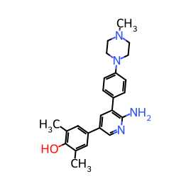 Cc1cc(-c2cnc(N)c(-c3ccc(N4CCN(C)CC4)cc3)c2)cc(C)c1O